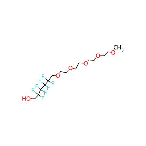 COCCOCCOCCOCCOCC(F)(F)C(F)(F)C(F)(F)C(F)(F)CO